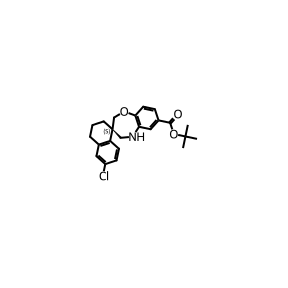 CC(C)(C)OC(=O)c1ccc2c(c1)NC[C@@]1(CCCc3cc(Cl)ccc31)CO2